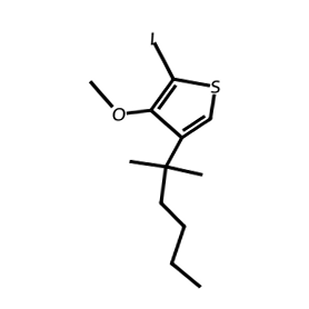 CCCCC(C)(C)c1csc(I)c1OC